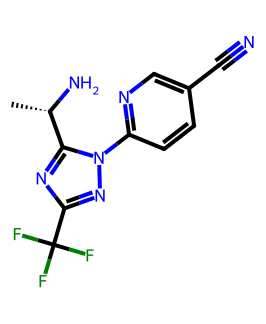 C[C@H](N)c1nc(C(F)(F)F)nn1-c1ccc(C#N)cn1